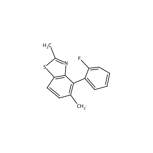 [CH2]c1ccc2sc(C)nc2c1-c1ccccc1F